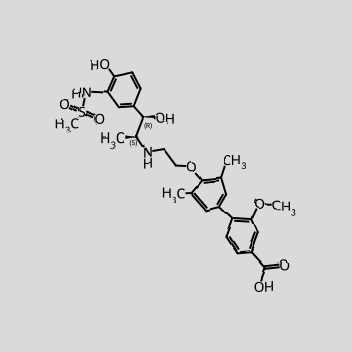 COc1cc(C(=O)O)ccc1-c1cc(C)c(OCCN[C@@H](C)[C@H](O)c2ccc(O)c(NS(C)(=O)=O)c2)c(C)c1